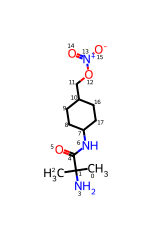 CC(C)(N)C(=O)NC1CCC(CO[N+](=O)[O-])CC1